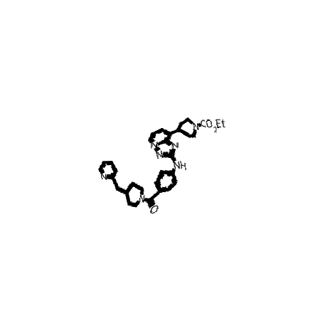 CCOC(=O)N1CC=C(c2cccn3nc(Nc4ccc(C(=O)N5CCC(Cc6ccccn6)CC5)cc4)nc23)CC1